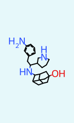 Nc1cccc(CC(NC2C3CC4CC2CC(O)(C4)C3)C2CCCNC2)c1